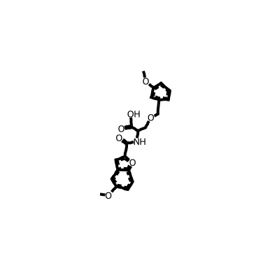 COc1cccc(COCC(NC(=O)c2cc3cc(OC)ccc3o2)C(=O)O)c1